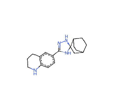 c1cc2c(cc1C1=NN[C@@]3(CC4CCC3CC4)N1)CCCN2